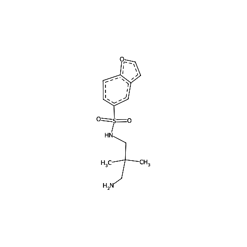 CC(C)(CN)CNS(=O)(=O)c1ccc2occc2c1